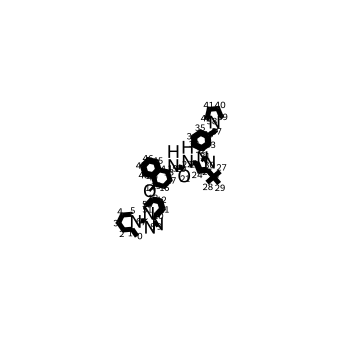 CC1CCCCN1c1nnc2ccc(O[C@@H]3CC[C@H](NC(=O)Nc4cc(C(C)(C)C)nn4-c4cccc(CN5CCCC5)c4)c4ccccc43)cn12